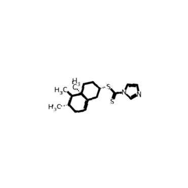 CC1[C@@H](C)CC=C2C[C@@H](SC(=S)n3ccnc3)CC[C@@]21C